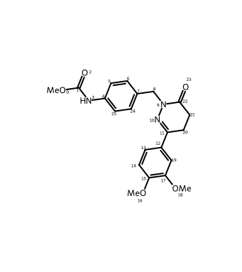 COC(=O)Nc1ccc(CN2N=C(c3ccc(OC)c(OC)c3)CCC2=O)cc1